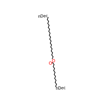 CCCCCCCCCCCCCCCCCCCCCCCCCCCCCCCCOC(=O)CCCCCCCCCCCCCCCCCCCCCC